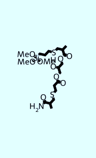 CO[Si](CCCSCC(C)C(=O)OCC(O)COC(=O)CCSCC(C)C(N)=O)(OC)OC